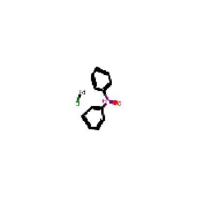 O=[PH](c1ccccc1)c1ccccc1.[Cl][Pd]